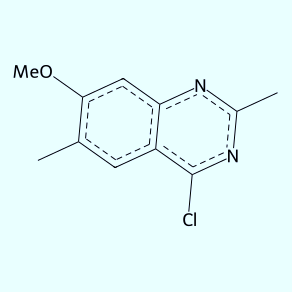 COc1cc2nc(C)nc(Cl)c2cc1C